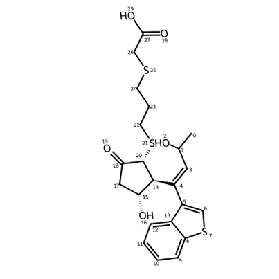 CC(O)/C=C(/c1csc2ccccc12)[C@H]1[C@H](O)CC(=O)[C@@H]1SCCCSCC(=O)O